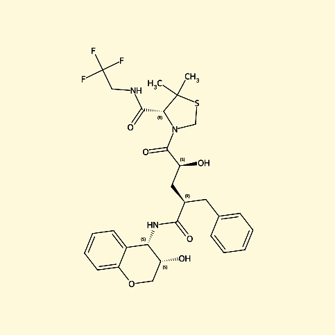 CC1(C)SCN(C(=O)[C@@H](O)C[C@@H](Cc2ccccc2)C(=O)N[C@H]2c3ccccc3OC[C@H]2O)[C@@H]1C(=O)NCC(F)(F)F